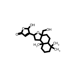 CC1(C)CCCC2(C)C1CCC1(CO)OC(C3=CC(=O)OC3O)CC12